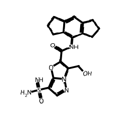 N=S(N)(=O)c1cnn2c1OC(C(=O)Nc1c3c(cc4c1CCC4)CCC3)C2CO